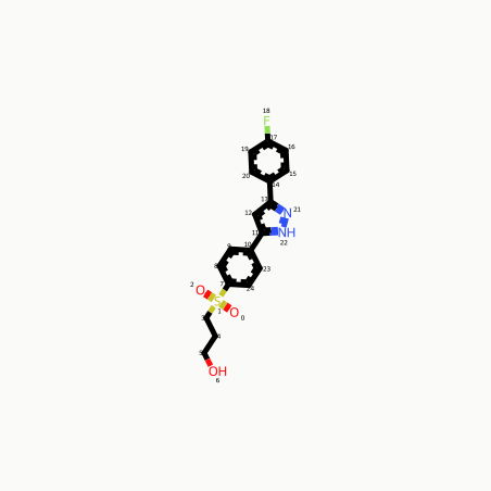 O=S(=O)(CCCO)c1ccc(-c2cc(-c3ccc(F)cc3)n[nH]2)cc1